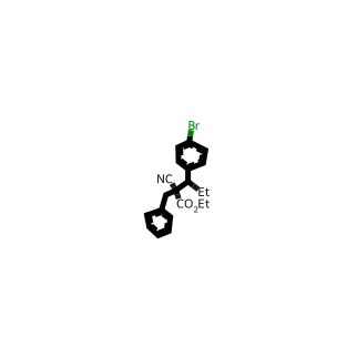 CCOC(=O)C(C#N)(Cc1ccccc1)C(CC)c1ccc(Br)cc1